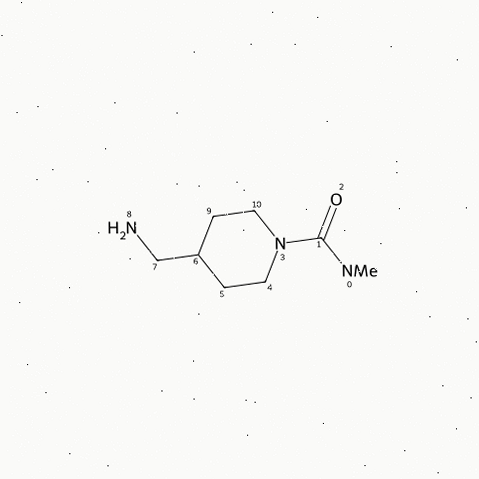 CNC(=O)N1CCC(CN)CC1